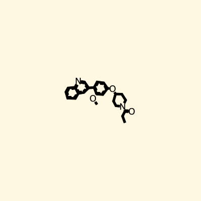 CCC(=O)N1CCC(Oc2ccc(-c3cnc4ccccc4c3)c(OC)c2)CC1